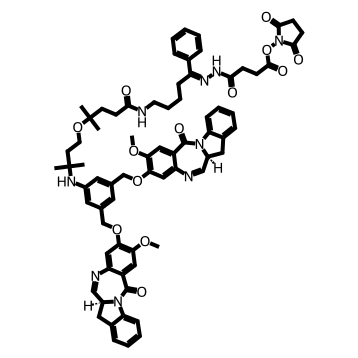 COc1cc2c(cc1OCc1cc(COc3cc4c(cc3OC)C(=O)N3c5ccccc5C[C@H]3C=N4)cc(NC(C)(C)CCOC(C)(C)CCC(=O)NCCCC/C(=N/NC(=O)CCC(=O)ON3C(=O)CCC3=O)c3ccccc3)c1)N=C[C@@H]1Cc3ccccc3N1C2=O